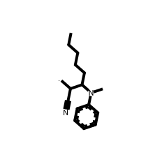 [CH2]C(C#N)C(CCCCC)N(C)c1ccccc1